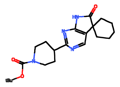 CC(C)(C)OC(=O)N1CCC(c2ncc3c(n2)NC(=O)C32CCCCC2)CC1